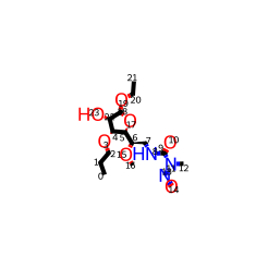 CCCO[C@H]1[C@@H]([C@@H](CNC(=O)N(C)N=O)OC)OC(OCC)[C@@H]1O